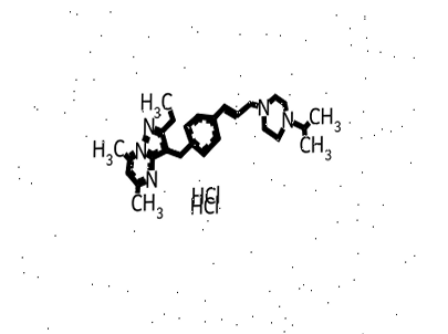 CCc1nn2c(C)cc(C)nc2c1Cc1ccc(/C=C/CN2CCN(C(C)C)CC2)cc1.Cl.Cl